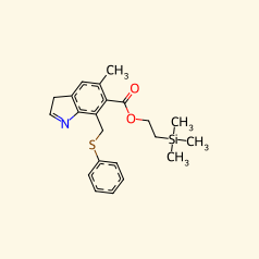 Cc1cc2c(c(CSc3ccccc3)c1C(=O)OCC[Si](C)(C)C)N=CC2